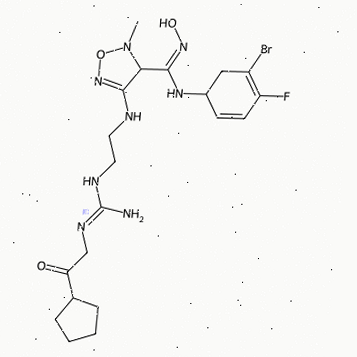 CN1ON=C(NCCN/C(N)=N/CC(=O)C2CCCC2)C1C(=NO)NC1C=CC(F)=C(Br)C1